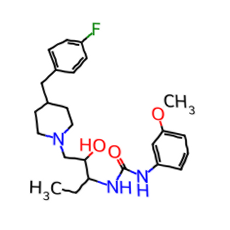 CCC(NC(=O)Nc1cccc(OC)c1)C(O)CN1CCC(Cc2ccc(F)cc2)CC1